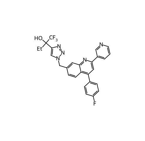 CCC(O)(c1cn(Cc2ccc3c(-c4ccc(F)cc4)cc(-c4cccnc4)nc3c2)nn1)C(F)(F)F